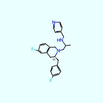 CC(CN1Cc2ccc(F)cc2C[C@@H]1Cc1ccc(F)cc1)NCc1ccncc1